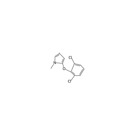 Cn1c[c]cc1Oc1c(Cl)cccc1Cl